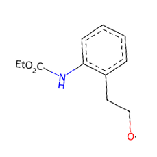 CCOC(=O)Nc1ccccc1CC[O]